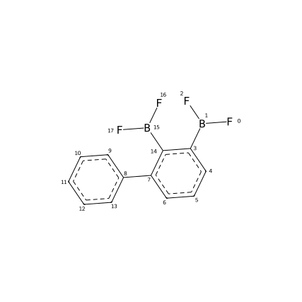 FB(F)c1cccc(-c2ccccc2)c1B(F)F